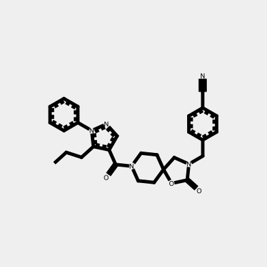 CCCc1c(C(=O)N2CCC3(CC2)CN(Cc2ccc(C#N)cc2)C(=O)O3)cnn1-c1ccccc1